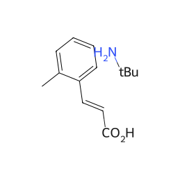 CC(C)(C)N.Cc1ccccc1/C=C/C(=O)O